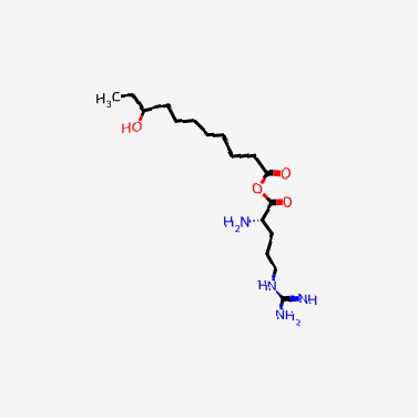 CCC(O)CCCCCCCC(=O)OC(=O)[C@@H](N)CCCNC(=N)N